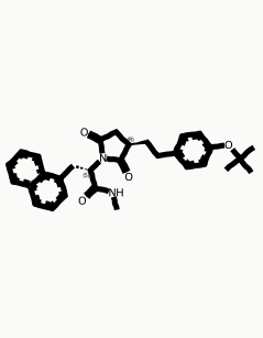 CNC(=O)[C@H](Cc1cccc2ccccc12)N1C(=O)C[C@@H](CCc2ccc(OC(C)(C)C)cc2)C1=O